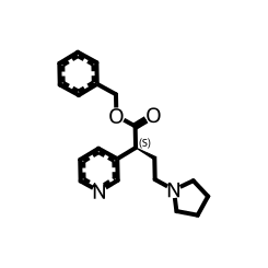 O=C(OCc1ccccc1)[C@@H](CCN1CCCC1)c1cccnc1